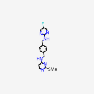 CSc1nccc(NCc2ccc(CNc3ncc(F)cn3)cc2)n1